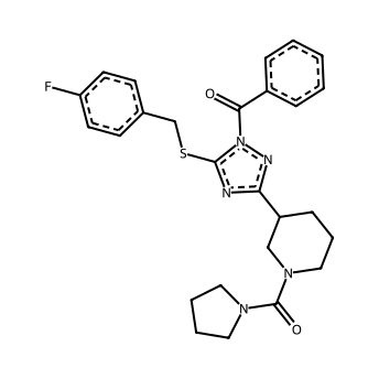 O=C(N1CCCC1)N1CCCC(c2nc(SCc3ccc(F)cc3)n(C(=O)c3ccccc3)n2)C1